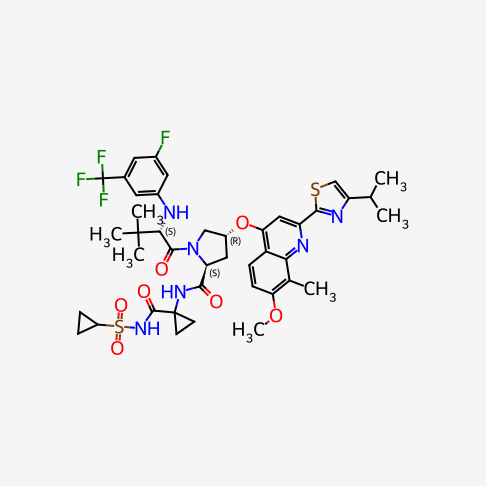 COc1ccc2c(O[C@@H]3C[C@@H](C(=O)NC4(C(=O)NS(=O)(=O)C5CC5)CC4)N(C(=O)[C@@H](Nc4cc(F)cc(C(F)(F)F)c4)C(C)(C)C)C3)cc(-c3nc(C(C)C)cs3)nc2c1C